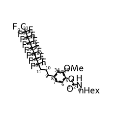 CCCCCCNC(=O)Oc1ccc(CCCC(F)(F)C(F)(F)C(F)(F)C(F)(F)C(F)(F)C(F)(F)C(F)(F)C(F)(F)F)cc1OC